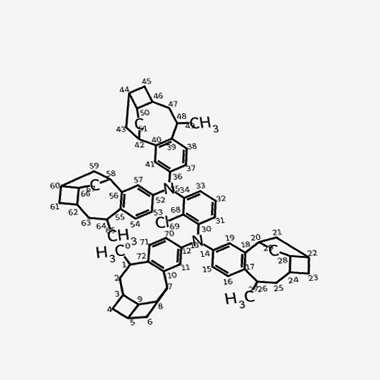 CC1CC2CC3CC(CC23)c2cc(N(c3ccc4c(c3)C3CC5CC(CC4C)C5C3)c3cccc(N(c4ccc5c(c4)C4CC6CC(CC5C)C6C4)c4ccc5c(c4)C4CC6CC(CC5C)C6C4)c3Cl)ccc21